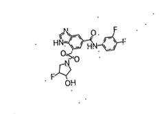 O=C(Nc1ccc(F)c(F)c1)c1cc(S(=O)(=O)N2CC(O)C(F)C2)c2[nH]cnc2c1